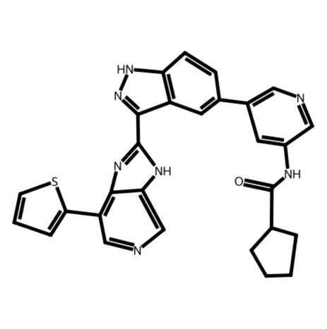 O=C(Nc1cncc(-c2ccc3[nH]nc(-c4nc5c(-c6cccs6)cncc5[nH]4)c3c2)c1)C1CCCC1